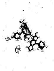 CC1=C(c2cc3c(c(-c4ccc(C(C)(C)C)cc4)[c]2[Zr+2])C2=C(C(C)C)C3[Si]2(C)C)c2cc3c(c(-c4ccccc4)c2C1)CCC3.[Cl-].[Cl-]